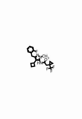 Cn1nc(Cc2ccccc2F)c(C2CCC2)c1NC(=O)CC1(C(F)(F)F)CC1